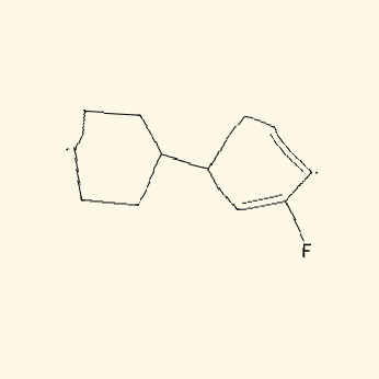 FC1=CC(C2CC[CH]CC2)CC=[C]1